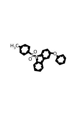 Cc1ccc(S(=O)(=O)n2c3ccccc3c3cc(Oc4ccccc4)ccc32)cc1